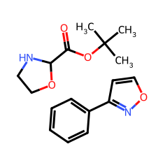 CC(C)(C)OC(=O)C1NCCO1.c1ccc(-c2ccon2)cc1